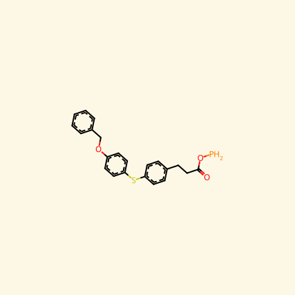 O=C(CCc1ccc(Sc2ccc(OCc3ccccc3)cc2)cc1)OP